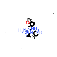 CC(C)Oc1ccccc1CN1C(N)N(C2CCCNC2)c2c(C(C)C)cnn2C1N